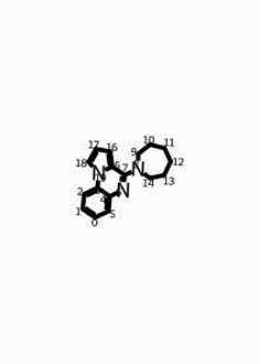 c1ccc2c(c1)nc(N1CCCCCC1)c1cccn12